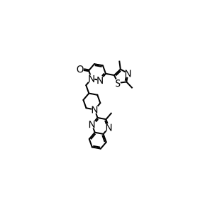 Cc1nc(C)c(-c2ccc(=O)n(CC3CCN(c4nc5ccccc5nc4C)CC3)n2)s1